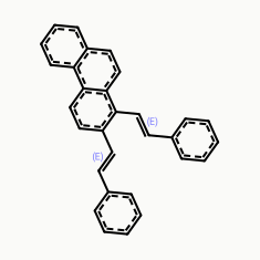 C(=C\c1ccc2c(ccc3ccccc32)c1/C=C/c1ccccc1)/c1ccccc1